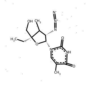 CC[C@@]1(CO)O[C@@H](n2cc(C)c(=O)[nH]c2=O)[C@@H](N=[N+]=[N-])C1C